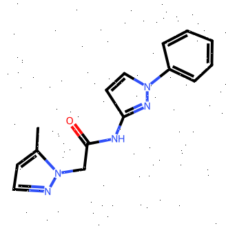 Cc1ccnn1CC(=O)Nc1ccn(-c2ccccc2)n1